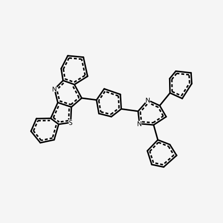 c1ccc(-c2cc(-c3ccccc3)nc(-c3ccc(-c4c5ccccc5nc5c4sc4ccccc45)cc3)n2)cc1